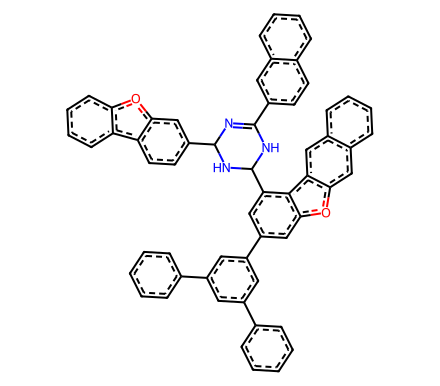 c1ccc(-c2cc(-c3ccccc3)cc(-c3cc(C4NC(c5ccc6ccccc6c5)=NC(c5ccc6c(c5)oc5ccccc56)N4)c4c(c3)oc3cc5ccccc5cc34)c2)cc1